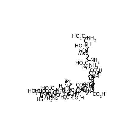 CC(C)C[C@H](N)C(=O)O[C@H](C)[C@H](N)C(=O)O.CC(C)[C@H](N)C(=O)O.CC[C@H](C)[C@H](N)C(=O)O.CSCC[C@H](N)C(=O)O.NC(=O)C[C@H](N)C(=O)O.NCC(=O)O.NCC(=O)O.NCC(=O)O.N[C@@H](CS)C(=O)O.N[C@@H](CS)C(=O)O.N[C@@H](Cc1c[nH]cn1)C(=O)O.O=C(O)[C@@H]1CCCN1.O=C(O)[C@@H]1CCCN1.O=C(O)[C@@H]1CCCN1